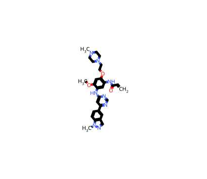 C=CC(=O)Nc1cc(Nc2cc(-c3ccc4c(cnn4C)c3)ncn2)c(OC)cc1OCCN1CCN(C)CC1